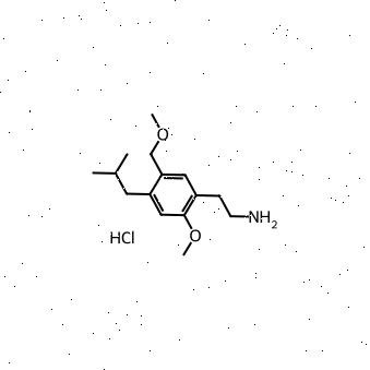 COCc1cc(CCN)c(OC)cc1CC(C)C.Cl